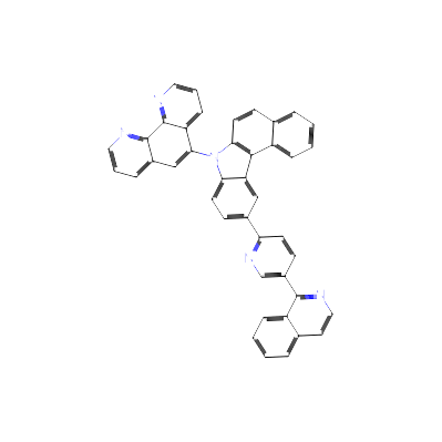 c1ccc2c(-c3ccc(-c4ccc5c(c4)c4c6ccccc6ccc4n5-c4cc5cccnc5c5ncccc45)nc3)nccc2c1